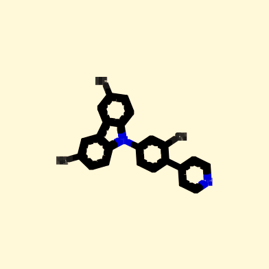 N#Cc1ccc2c(c1)c1cc(C#N)ccc1n2-c1ccc(-c2ccncc2)c(C#N)c1